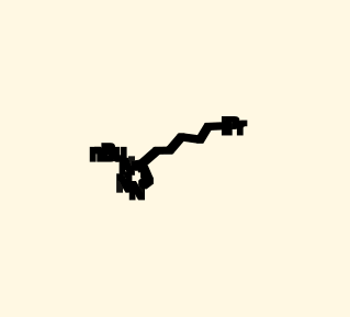 CCCCn1nncc1CCCCCC(C)C